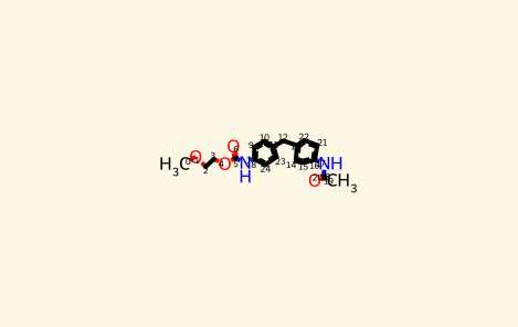 COCCOC(=O)Nc1ccc(Cc2ccc(NC(C)=O)cc2)cc1